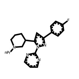 CCCN1CCCC(c2cc(-c3ccc(F)cc3)nn2-c2ncccn2)C1